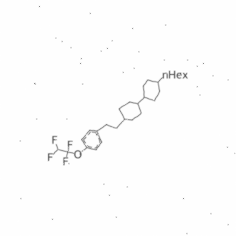 CCCCCCC1CCC(C2CCC(CCc3ccc(OC(F)(F)C(F)F)cc3)CC2)CC1